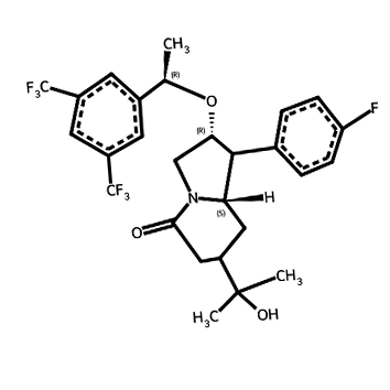 C[C@@H](O[C@H]1CN2C(=O)CC(C(C)(C)O)C[C@H]2C1c1ccc(F)cc1)c1cc(C(F)(F)F)cc(C(F)(F)F)c1